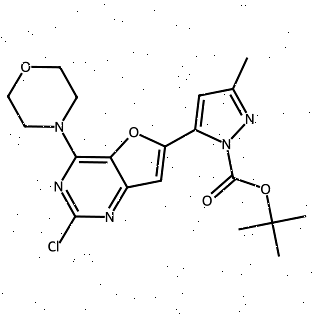 Cc1cc(-c2cc3nc(Cl)nc(N4CCOCC4)c3o2)n(C(=O)OC(C)(C)C)n1